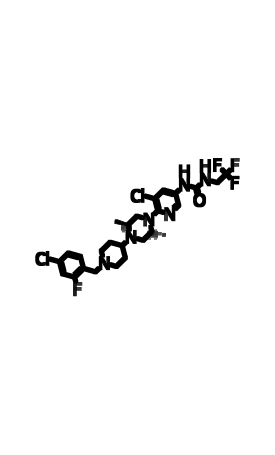 C[C@@H]1CN(C2CCN(Cc3ccc(Cl)cc3F)CC2)[C@@H](C)CN1c1ncc(NC(=O)NCC(F)(F)F)cc1Cl